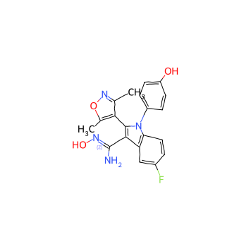 Cc1noc(C)c1-c1c(/C(N)=N/O)c2cc(F)ccc2n1-c1ccc(O)cc1